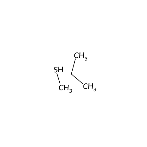 CCC.CS